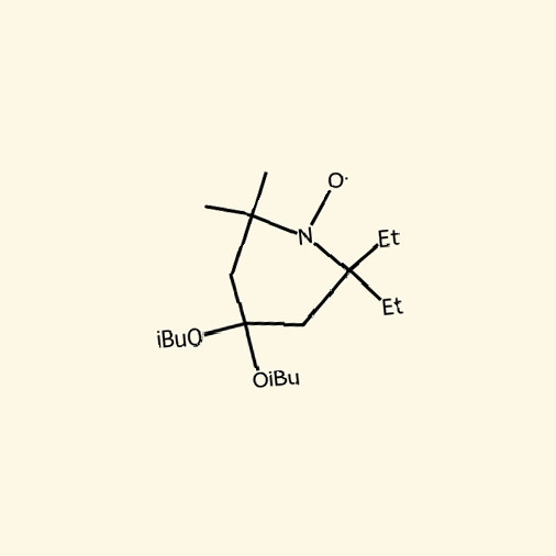 CCC1(CC)CC(OCC(C)C)(OCC(C)C)CC(C)(C)N1[O]